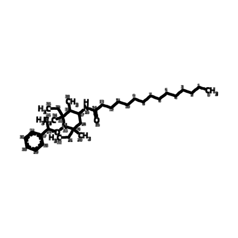 CCCCCCCCCCCCCCC(=O)NC1CC(C)(CC)N(OC(C)c2ccccc2)C(C)(CC)C1C